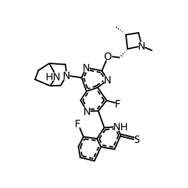 C[C@@H]1CN(C)[C@@H]1COc1nc(N2CC3CCC(C2)N3)c2cnc(-c3[nH]c(=S)cc4cccc(F)c34)c(F)c2n1